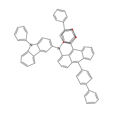 c1ccc(-c2ccc(-c3c4ccccc4c(-c4ccc(-c5ccccc5)cc4)c4c(N(c5ccccc5)c5ccc6c(c5)c5ccccc5n6-c5ccccc5)cccc34)cc2)cc1